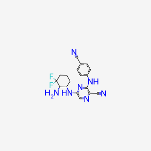 N#Cc1ccc(Nc2nc(N[C@@H]3CCCC(F)(F)[C@@H]3N)cnc2C#N)cc1